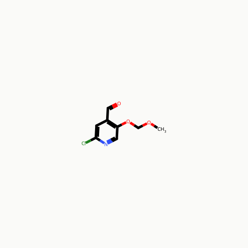 COCOc1cnc(Cl)cc1C=O